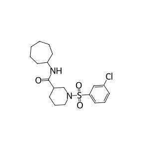 O=C(NC1CCCCCC1)C1CCCN(S(=O)(=O)c2cccc(Cl)c2)C1